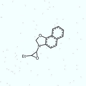 CCC1OC1N1COc2c1ccc1ccccc21